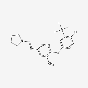 Cc1cc(N=CN2CCCC2)cnc1Oc1ccc(Cl)c(C(F)(F)F)c1